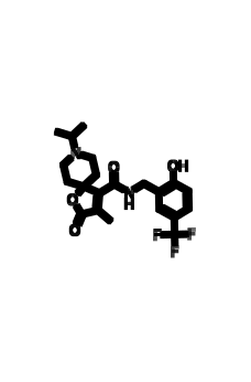 CC1=C(C(=O)NCc2cc(C(F)(F)F)ccc2O)C2(CCN(C(C)C)CC2)OC1=O